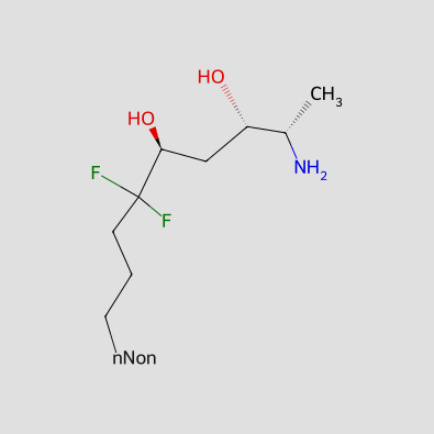 CCCCCCCCCCCCC(F)(F)[C@@H](O)C[C@H](O)[C@H](C)N